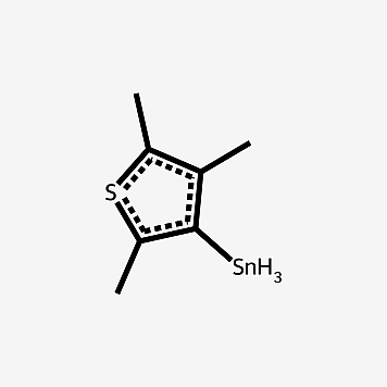 Cc1sc(C)[c]([SnH3])c1C